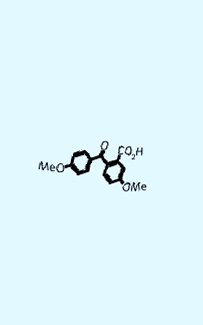 COc1ccc(C(=O)c2ccc(OC)cc2C(=O)O)cc1